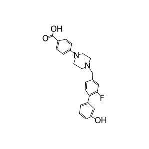 O=C(O)c1ccc(N2CCN(Cc3ccc(-c4cccc(O)c4)c(F)c3)CC2)cc1